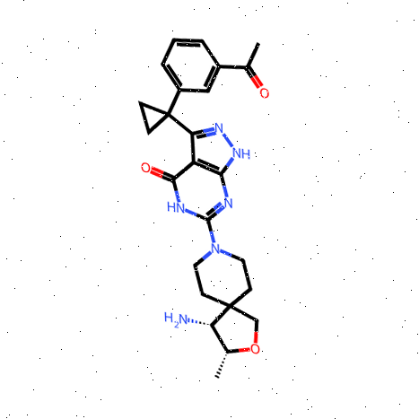 CC(=O)c1cccc(C2(c3n[nH]c4nc(N5CCC6(CC5)CO[C@H](C)[C@@H]6N)[nH]c(=O)c34)CC2)c1